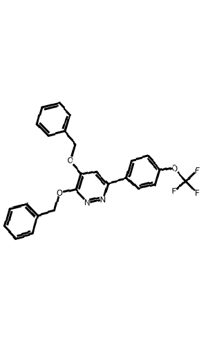 FC(F)(F)Oc1ccc(-c2cc(OCc3ccccc3)c(OCc3ccccc3)nn2)cc1